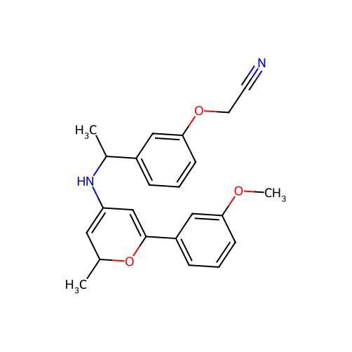 COc1cccc(C2=CC(NC(C)c3cccc(OCC#N)c3)=CC(C)O2)c1